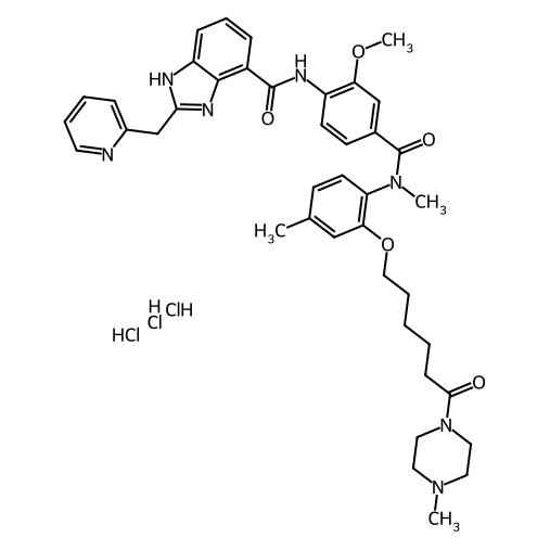 COc1cc(C(=O)N(C)c2ccc(C)cc2OCCCCCC(=O)N2CCN(C)CC2)ccc1NC(=O)c1cccc2[nH]c(Cc3ccccn3)nc12.Cl.Cl.Cl